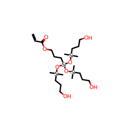 C=CC(=O)OCCC[Si](O[Si](C)(C)CCCO)(O[Si](C)(C)CCCO)O[Si](C)(C)CCCO